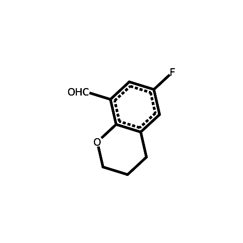 O=Cc1cc(F)cc2c1OCCC2